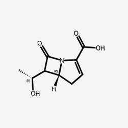 C[C@@H](O)C1C(=O)N2C(C(=O)O)=CC[C@H]12